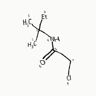 CCC(C)(C)NC(=O)CCl